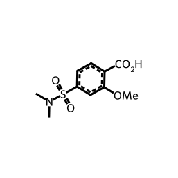 COc1cc(S(=O)(=O)N(C)C)ccc1C(=O)O